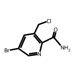 NC(=O)c1ncc(Br)cc1CCl